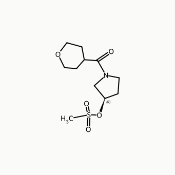 CS(=O)(=O)O[C@@H]1CCN(C(=O)C2CCOCC2)C1